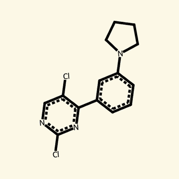 Clc1ncc(Cl)c(-c2cccc(N3CCCC3)c2)n1